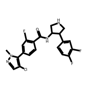 Cn1ncc(Cl)c1-c1ccc(C(=O)NC2CNCC2c2ccc(F)c(F)c2)c(F)c1